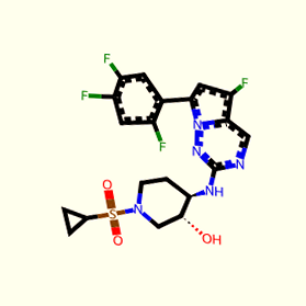 O=S(=O)(C1CC1)N1CC[C@@H](Nc2ncc3c(F)cc(-c4cc(F)c(F)cc4F)n3n2)[C@H](O)C1